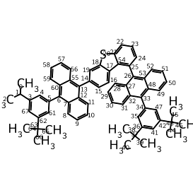 CC(C)c1cc(-c2c3ccccc3c(-c3ccc4c(c3)sc3cccc(-c5c6ccccc6c(-c6cc(C(C)(C)C)cc(C(C)(C)C)c6)c6ccccc56)c34)c3ccccc23)cc(C(C)(C)C)c1